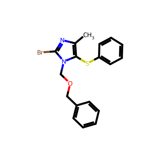 Cc1nc(Br)n(COCc2ccccc2)c1Sc1ccccc1